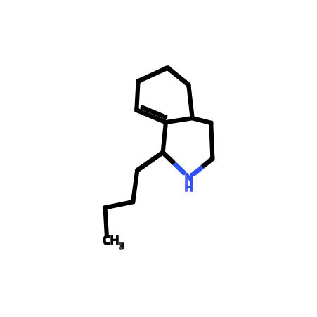 CCCCC1NCCC2CCCC=C21